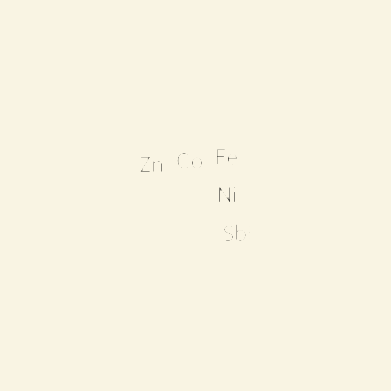 [Co].[Fe].[Ni].[Sb].[Zn]